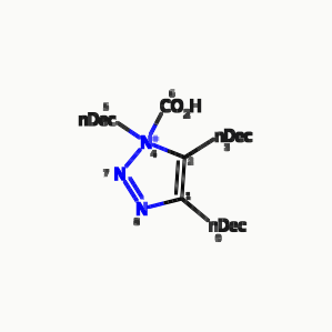 CCCCCCCCCCC1=C(CCCCCCCCCC)[N+](CCCCCCCCCC)(C(=O)O)N=N1